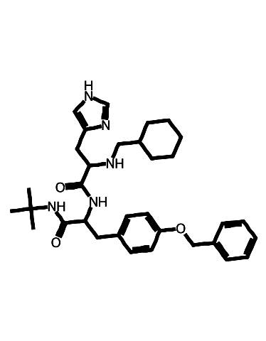 CC(C)(C)NC(=O)C(Cc1ccc(OCc2ccccc2)cc1)NC(=O)C(Cc1c[nH]cn1)NCC1CCCCC1